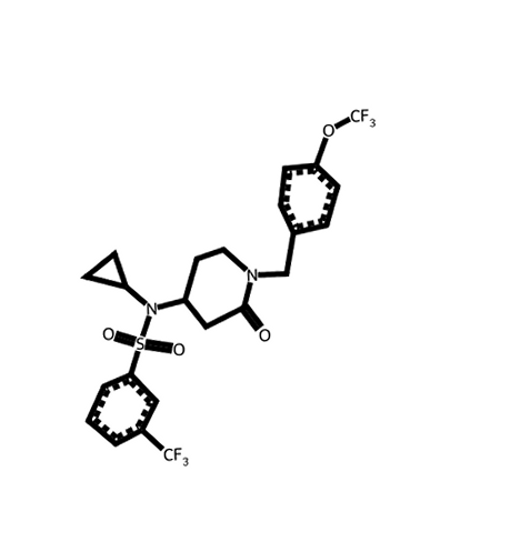 O=C1CC(N(C2CC2)S(=O)(=O)c2cccc(C(F)(F)F)c2)CCN1Cc1ccc(OC(F)(F)F)cc1